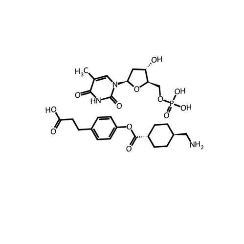 Cc1cn([C@H]2C[C@H](O)[C@@H](COP(=O)(O)O)O2)c(=O)[nH]c1=O.NC[C@H]1CC[C@H](C(=O)Oc2ccc(CCC(=O)O)cc2)CC1